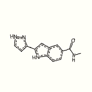 CNC(=O)c1ccc2[nH]c(-c3cc[nH]n3)cc2c1